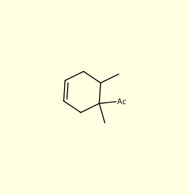 CC(=O)C1(C)CC=CCC1C